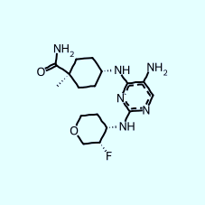 C[C@]1(C(N)=O)CC[C@H](Nc2nc(N[C@H]3CCOC[C@H]3F)ncc2N)CC1